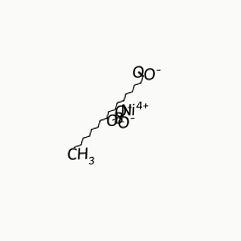 CCCCCCCCCCCCCCCCCC(=O)[O-].[Ni+4].[O-]B([O-])[O-]